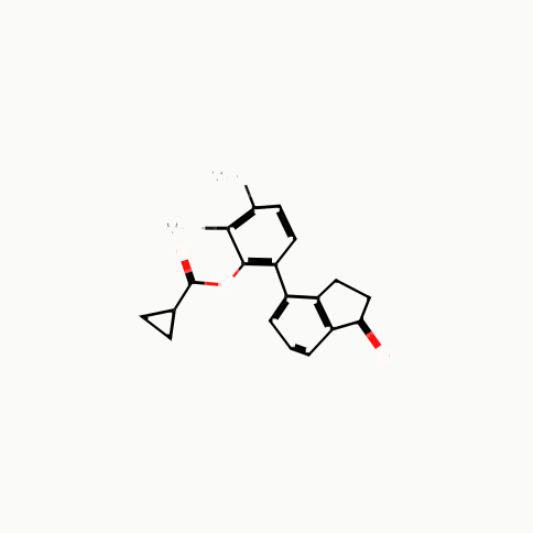 COc1ccc(-c2cccc3c2CCC3=O)c(OC(=O)C2CC2)c1OC